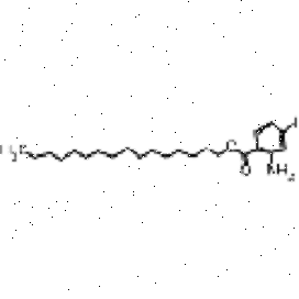 CCCCCCCCCCCCCCCCOC(=O)c1ccc(I)cc1N